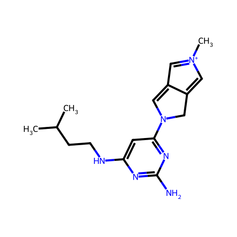 CC(C)CCNc1cc(N2C=C3C=[N+](C)C=C3C2)nc(N)n1